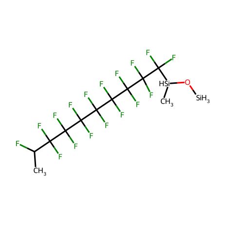 CC(F)C(F)(F)C(F)(F)C(F)(F)C(F)(F)C(F)(F)C(F)(F)C(F)(F)C(F)(F)[SiH](C)O[SiH3]